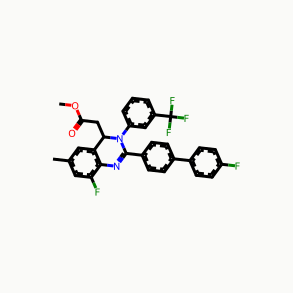 COC(=O)CC1c2cc(C)cc(F)c2N=C(c2ccc(-c3ccc(F)cc3)cc2)N1c1cccc(C(F)(F)F)c1